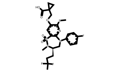 CSc1nc2c(cc1OCC1(C(=O)O)CC1)S(=O)(=O)N(C)[C@H](CCC(C)(F)F)CN2c1ccc(F)cc1